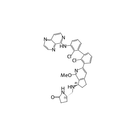 COc1nc(-c2cccc(-c3cccc(Nc4nccc5nccnc45)c3Cl)c2Cl)cc2c1[C@H](NC[C@@H]1CCC(=O)N1)CC2